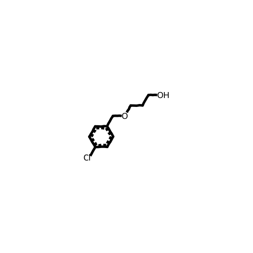 OCCCOCc1ccc(Cl)cc1